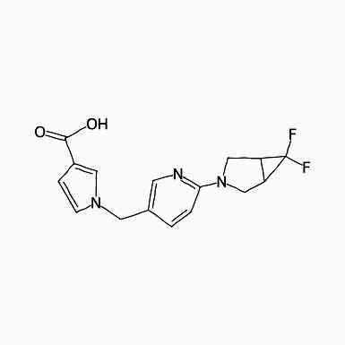 O=C(O)c1ccn(Cc2ccc(N3CC4C(C3)C4(F)F)nc2)c1